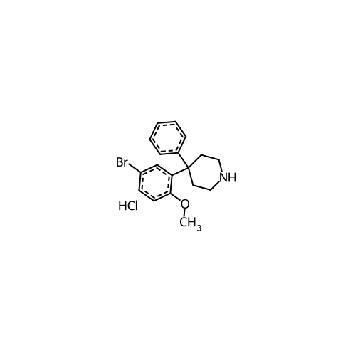 COc1ccc(Br)cc1C1(c2ccccc2)CCNCC1.Cl